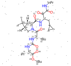 CCCNC(=O)C(=O)C(CC1CC1)NC(=O)[C@@H]1[C@@H]2[C@H](CN1C(=O)[C@@H](NC(=O)N[C@H](C(=O)OC(C)(C)C)C(C)C)C(C)(C)C)C2(C)C